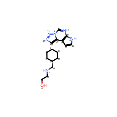 OCCNC[C@H]1CC[C@H](c2nnn3cnc4[nH]ccc4c23)CC1